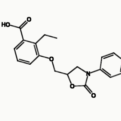 CCc1c(OCC2CN(c3ccccc3)C(=O)O2)cccc1C(=O)O